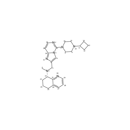 CN(Cc1cn2c(N3CCN(C4CCC4)CC3)nccc2n1)[C@H]1CCCc2cccnc21